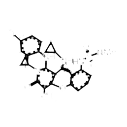 CNS(=O)(=O)Nc1cccc(Oc2c(C(=O)NC3CC3)c(Nc3ccc(I)cc3F)n(C3CC3)c(=O)c2C)c1Cl